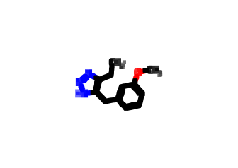 [CH2]Cc1nn[nH]c1Cc1cccc(OC)c1